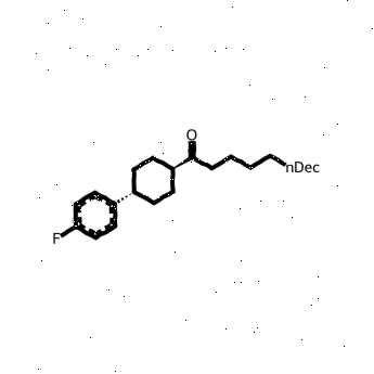 CCCCCCCCCCCCCCC(=O)[C@H]1CC[C@H](c2ccc(F)cc2)CC1